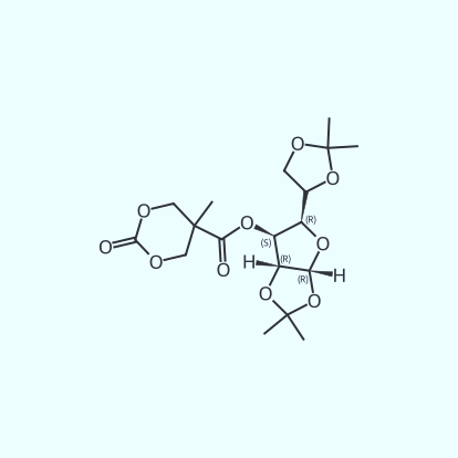 CC1(C)OCC([C@H]2O[C@@H]3OC(C)(C)O[C@@H]3[C@H]2OC(=O)C2(C)COC(=O)OC2)O1